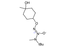 CN(/[N+]([O-])=N/OC1CCC(C)(O)CC1)C(C)(C)C